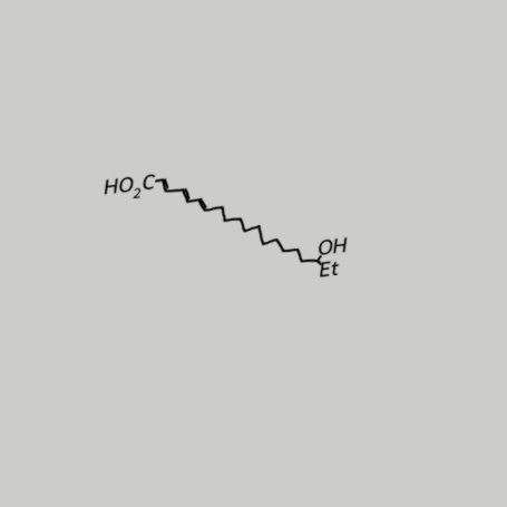 CCC(O)CCCCCCCCCC/C=C/C=C/C=C/C(=O)O